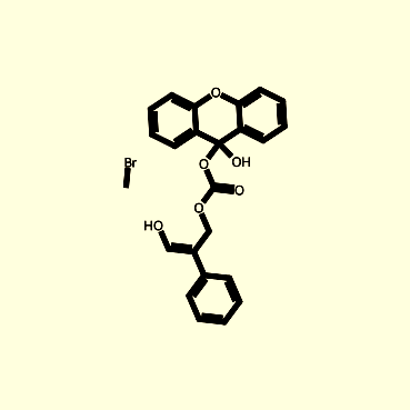 CBr.O=C(OCC(=CO)c1ccccc1)OC1(O)c2ccccc2Oc2ccccc21